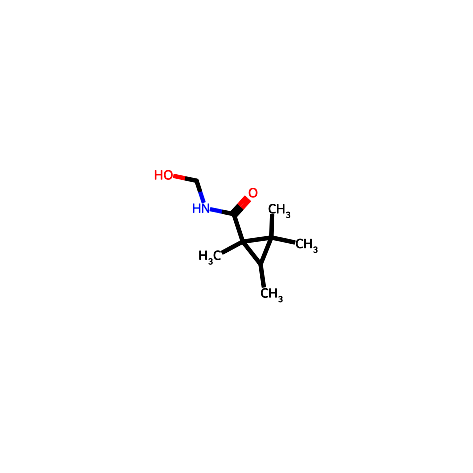 CC1C(C)(C)C1(C)C(=O)NCO